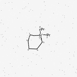 CCC[N+]1(C(C)C)CCCCC1